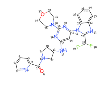 O=C(c1ccccn1)N1CC[C@H](Nc2cc(-n3c(C(F)F)nc4ccccc43)nc(N3CCOCC3)n2)C1